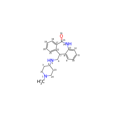 CN1CCC(NCC2c3ccccc3NC(=O)c3ccccc32)CC1